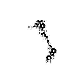 CN(Cc1cnc2nc(N)nc(N)c2n1)c1ccc(C(=O)N[C@H](CCC(=O)NCCOCCNc2cccc3c2C(=O)N(C2CCC(=O)NC2=O)C3=O)C(=O)O)cc1